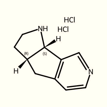 Cl.Cl.c1cc2c(cn1)[C@H]1NCC[C@H]1C2